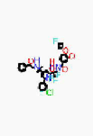 COc1cc(C(=O)NCC(O)(c2cc(C(C)(C)NCC(=O)c3ccccc3)cc(-c3ccc(F)c(Cl)c3)n2)C(F)(F)F)ccc1OC1CC(F)C1